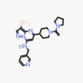 Bc1cnn2c(NCc3cccnc3)cc(C3CCN(C(=C)N4CCCC4)CC3)nc12